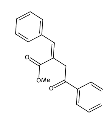 COC(=O)C(=Cc1ccccc1)CC(=O)c1ccccc1